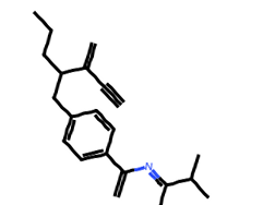 C#CC(=C)C(CCC)Cc1ccc(C(=C)/N=C(\C)C(C)C)cc1